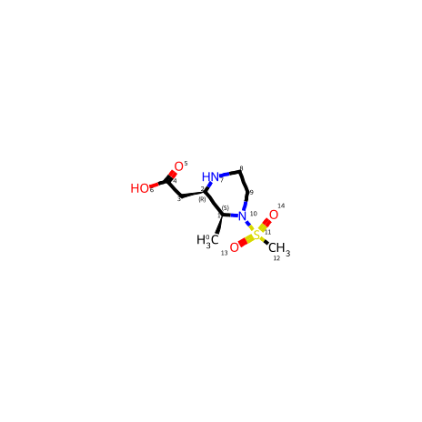 C[C@H]1[C@@H](CC(=O)O)NCCN1S(C)(=O)=O